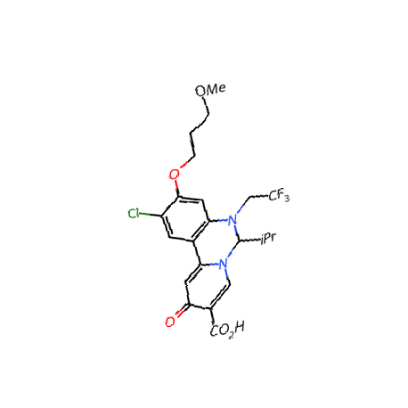 COCCCOc1cc2c(cc1Cl)-c1cc(=O)c(C(=O)O)cn1C(C(C)C)N2CC(F)(F)F